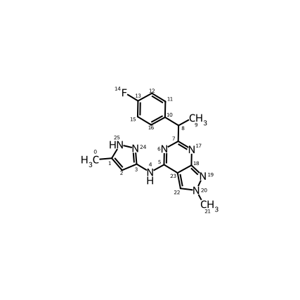 Cc1cc(Nc2nc(C(C)c3ccc(F)cc3)nc3nn(C)cc23)n[nH]1